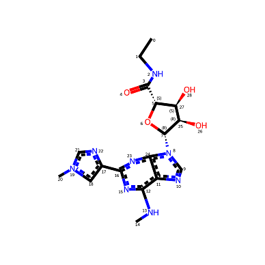 CCNC(=O)[C@H]1O[C@@H](n2cnc3c(NC)nc(-c4cn(C)cn4)nc32)[C@H](O)[C@@H]1O